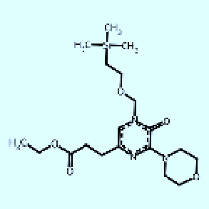 CCOC(=O)CCc1cn(COCC[Si](C)(C)C)c(=O)c(N2CCOCC2)n1